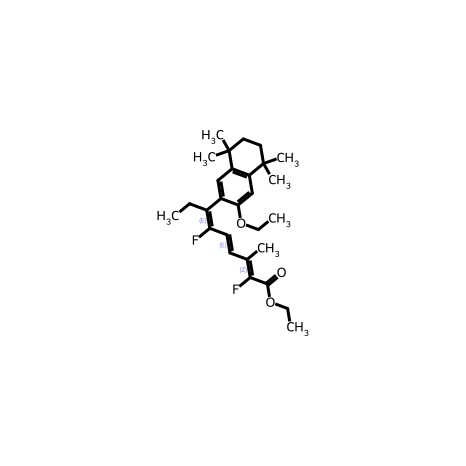 CCOC(=O)/C(F)=C(C)/C=C/C(F)=C(/CC)c1cc2c(cc1OCC)C(C)(C)CCC2(C)C